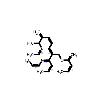 C=C(/C=C\C)OCC(=C\C=C/C(=C)C(C)/N=C\C)/C(/C=C\C)=N/C=C\C